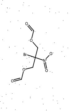 O=COCC(Br)(COC=O)[N+](=O)[O-]